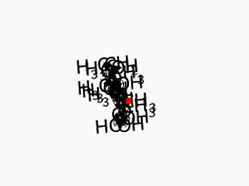 C=C(C)O[C@@H]([C@H]1CC(C)C2=C(O1)[C@H](O)[C@@]1(C)[C@@H]3CC[C@H]4C(C)(C)[C@@H](O[C@@H]5OC[C@@H](O)[C@H](O)[C@H]5O)CC[C@@]45C[C@@]35CC[C@]21C)C(C)(C)O